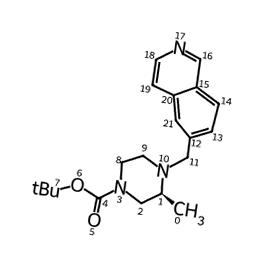 C[C@H]1CN(C(=O)OC(C)(C)C)CCN1Cc1ccc2cnccc2c1